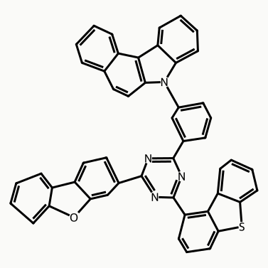 c1cc(-c2nc(-c3ccc4c(c3)oc3ccccc34)nc(-c3cccc4sc5ccccc5c34)n2)cc(-n2c3ccccc3c3c4ccccc4ccc32)c1